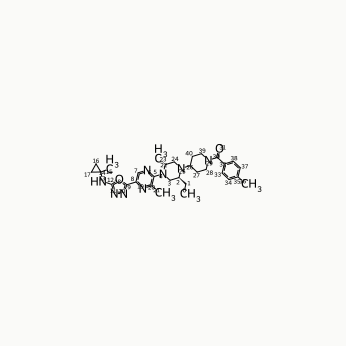 CC[C@H]1CN(c2ncc(-c3nnc(NC4(C)CC4)o3)nc2C)[C@H](C)CN1C1CCN(C(=O)c2ccc(C)cc2)CC1